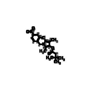 Cc1nn(Cc2ccc([N+](=O)[O-])cc2Cl)c(C)c1OC(=O)CC(C)(C)C